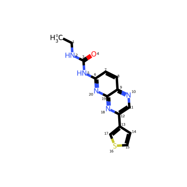 CCNC(=O)Nc1ccc2ncc(-c3ccsc3)nc2n1